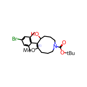 CO/C1=C(\c2c(C)cc(Br)cc2C)C(O)CCCN(C(=O)OC(C)(C)C)CCC1